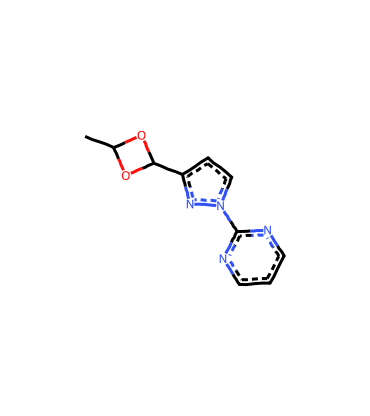 CC1OC(c2ccn(-c3ncccn3)n2)O1